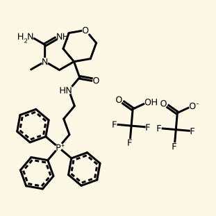 CN(CC1(C(=O)NCCC[P+](c2ccccc2)(c2ccccc2)c2ccccc2)CCOCC1)C(=N)N.O=C(O)C(F)(F)F.O=C([O-])C(F)(F)F